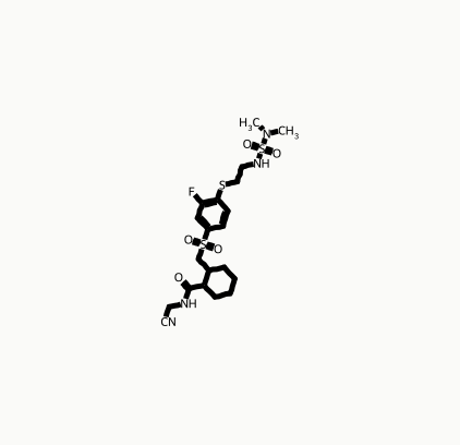 CN(C)S(=O)(=O)NCCSc1ccc(S(=O)(=O)CC2CCCCC2C(=O)NCC#N)cc1F